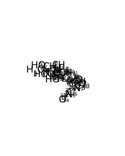 C[C@@H]1C[C@H]([C@H](O)C(C)(C)O)O[C@H]2[C@H]1[C@@]1(C)CC[C@@]34CC35CC[C@H](O[C@H]3CN(C6CCN(C7COC7)CC6)CCO3)C(C)(C)[C@@H]5CC[C@H]4[C@]1(C)[C@H]2O